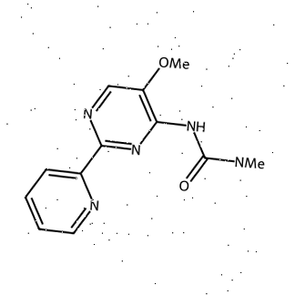 CNC(=O)Nc1nc(-c2ccccn2)ncc1OC